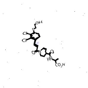 CC(NC(=O)C1CCN(C(=O)/C=C/c2ccc(SCCO)c(Cl)c2Cl)CC1)C(=O)O